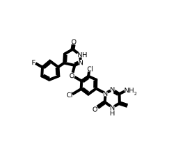 C=C1NC(=O)N(c2cc(Cl)c(Oc3n[nH]c(=O)cc3-c3cccc(F)c3)c(Cl)c2)N=C1N